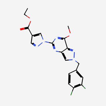 CCOC(=O)c1cnn(-c2nc(OC)c3nn(Cc4ccc(Cl)c(Cl)c4)cc3n2)c1